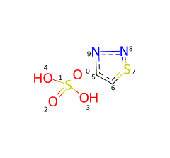 O=S(=O)(O)O.c1csnn1